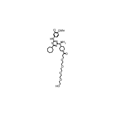 COc1ccc(Nc2nc(C3CCCCCC3)nc(N(N)C3CCN(C(=O)CCOCCOCCOCCOCCO)CC3)n2)cc1Cl